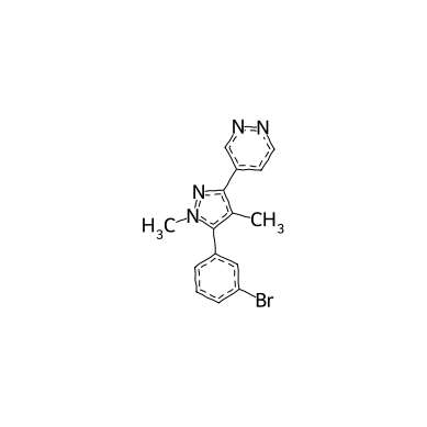 Cc1c(-c2ccnnc2)nn(C)c1-c1cccc(Br)c1